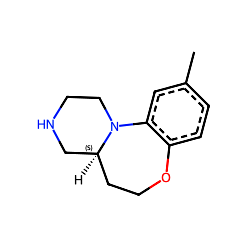 Cc1ccc2c(c1)N1CCNC[C@@H]1CCO2